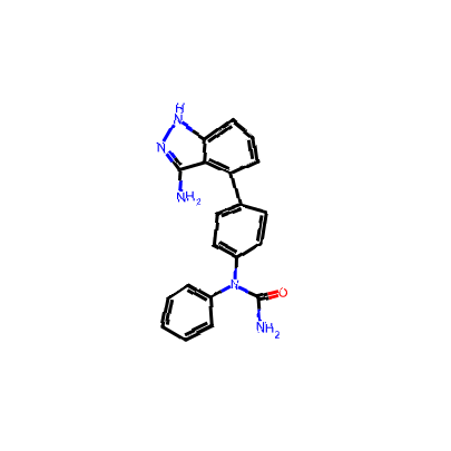 NC(=O)N(c1ccccc1)c1ccc(-c2cccc3[nH]nc(N)c23)cc1